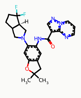 CC1(C)Cc2cc(NC(=O)c3cnn4cccnc34)c(N3CC4CCC(F)(F)[C@H]4C3)cc2O1